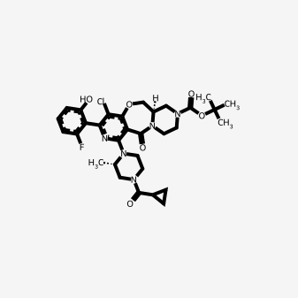 C[C@H]1CN(C(=O)C2CC2)CCN1c1nc(-c2c(O)cccc2F)c(Cl)c2c1C(=O)N1CCN(C(=O)OC(C)(C)C)C[C@@H]1CO2